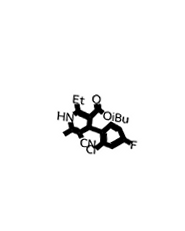 CCC1=C(C(=O)OCC(C)C)C(c2ccc(F)cc2Cl)C(C#N)=C(C)N1